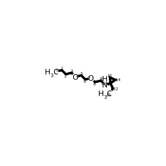 CCCCOCCOCCNC1(CC)CC1